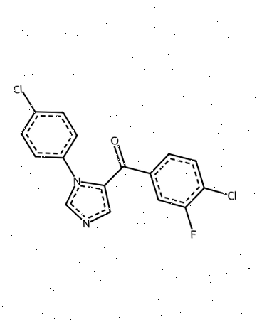 O=C(c1ccc(Cl)c(F)c1)c1cncn1-c1ccc(Cl)cc1